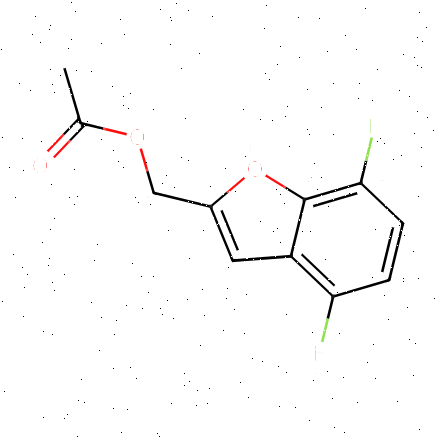 CC(=O)OCc1cc2c(F)ccc(F)c2o1